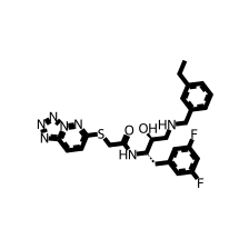 CCc1cccc(CNC[C@H](O)[C@H](Cc2cc(F)cc(F)c2)NC(=O)CSc2ccc3nnnn3n2)c1